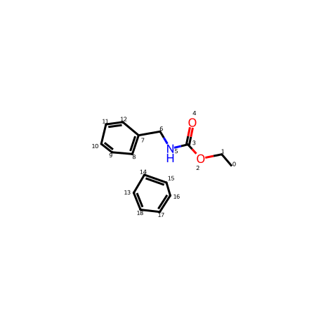 CCOC(=O)NCc1ccccc1.c1ccccc1